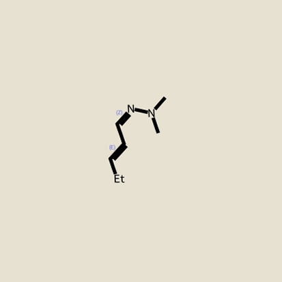 CC/C=C/C=N\N(C)C